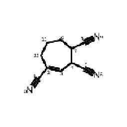 N#CC1=CC(C#N)C(C#N)CCC1